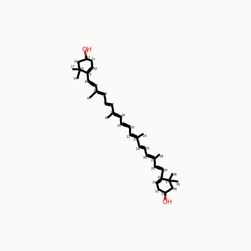 CC(/C=C/C=C(C)/C=C/C1=CCC(O)CC1(C)C)=C\C=C\C=C(C)\C=C\C=C(C)\C=C\C1=CCC(O)CC1(C)C